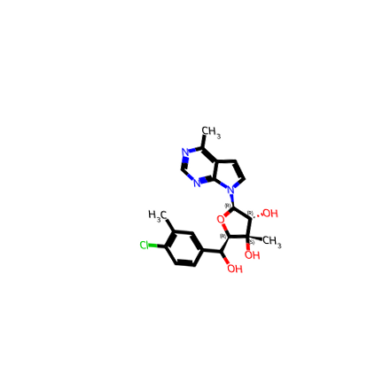 Cc1cc(C(O)[C@H]2O[C@@H](n3ccc4c(C)ncnc43)[C@H](O)[C@]2(C)O)ccc1Cl